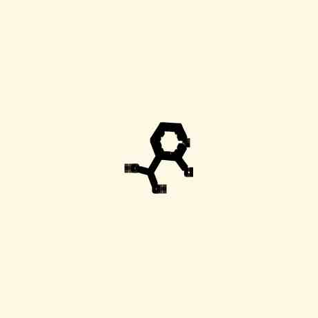 OC(O)c1cccnc1Cl